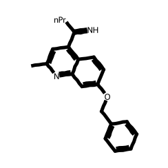 CCCC(=N)c1cc(C)nc2cc(OCc3ccccc3)ccc12